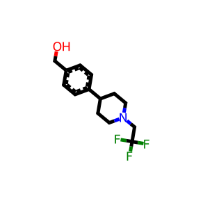 OCc1ccc(C2CCN(CC(F)(F)F)CC2)cc1